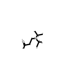 CC(=O)CCN(C(C)C)C(C)C